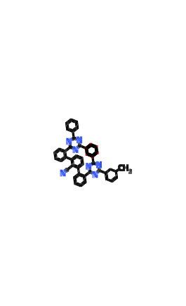 CC1C=CC=C(c2nc(-c3ccccc3)nc(-c3ccccc3-c3cccc(-c4ccccc4-c4nc(-c5ccccc5)nc(-c5ccccc5)n4)c3C#N)n2)C1